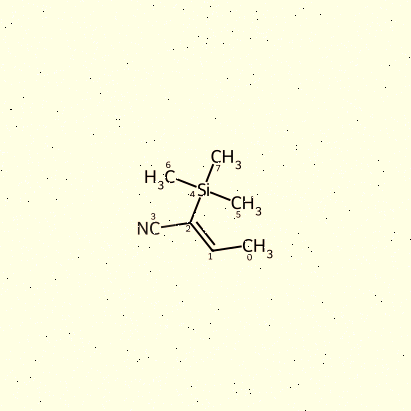 CC=C(C#N)[Si](C)(C)C